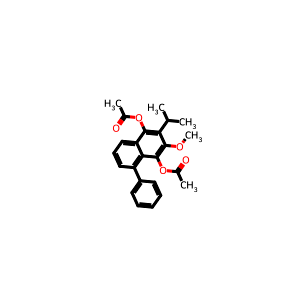 COc1c(C(C)C)c(OC(C)=O)c2cccc(-c3ccccc3)c2c1OC(C)=O